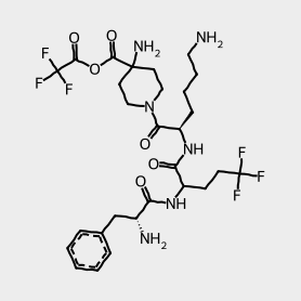 NCCCC[C@@H](NC(=O)C(CCC(F)(F)F)NC(=O)[C@H](N)Cc1ccccc1)C(=O)N1CCC(N)(C(=O)OC(=O)C(F)(F)F)CC1